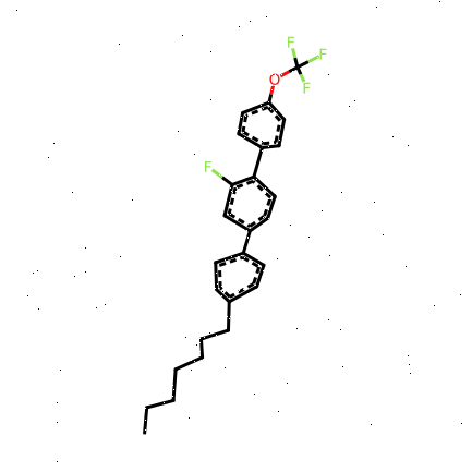 CCCCCCCc1ccc(-c2ccc(-c3ccc(OC(F)(F)F)cc3)c(F)c2)cc1